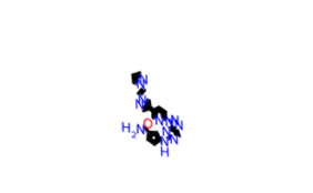 NC(=O)[C@@H]1CC[C@@H](Nc2ncc3nnn(-c4ccc(-c5cnn(CCn6cccn6)c5)cn4)c3n2)C1